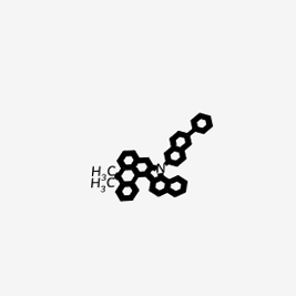 CC1(C)c2ccccc2-c2c3c1cccc3cc1c2c2ccc3ccccc3c2n1-c1ccc2cc(-c3ccccc3)ccc2c1